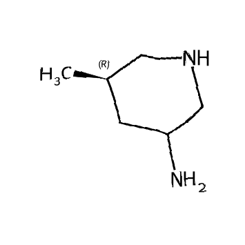 C[C@H]1CNCC(N)C1